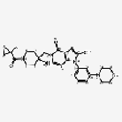 CC1(C(=O)N2CCC(O)(Cn3cnc4c(cc(Cl)n4-c4cccc(N5CCOCC5)c4)c3=O)CC2)CC1